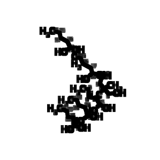 CC(C)(CO)CO.CCCCC(O)O.CCCCC(O)O.CCCCC(O)O.CCCCC(O)O.CCCCC(O)O